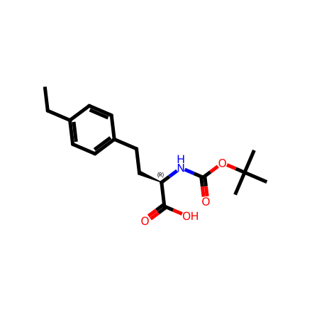 CCc1ccc(CC[C@@H](NC(=O)OC(C)(C)C)C(=O)O)cc1